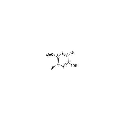 COc1cc(Br)c(O)cc1F